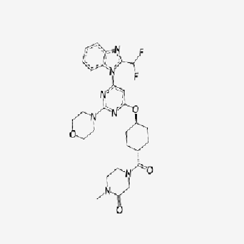 CN1CCN(C(=O)[C@H]2CC[C@H](Oc3cc(-n4c(C(F)F)nc5ccccc54)nc(N4CCOCC4)n3)CC2)CC1=O